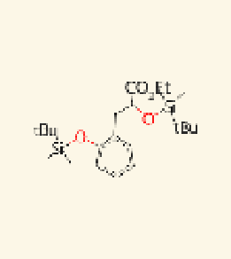 CCOC(=O)C(Cc1ccccc1O[Si](C)(C)C(C)(C)C)O[Si](C)(C)C(C)(C)C